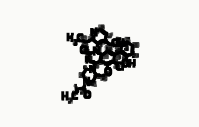 C=CC(=O)N1CCN2c3nc(=O)n(-c4c(CC)ccnc4CC)c4cc(-c5c(O)cccc5F)c(Cl)c(c34)OCC2C1